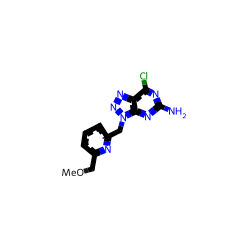 COCc1cccc(Cn2nnc3c(Cl)nc(N)nc32)n1